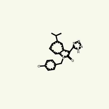 CC(C)c1cccc2n(Cc3ccc(Cl)cc3)c(=O)c(-c3nnn[nH]3)c-2c1